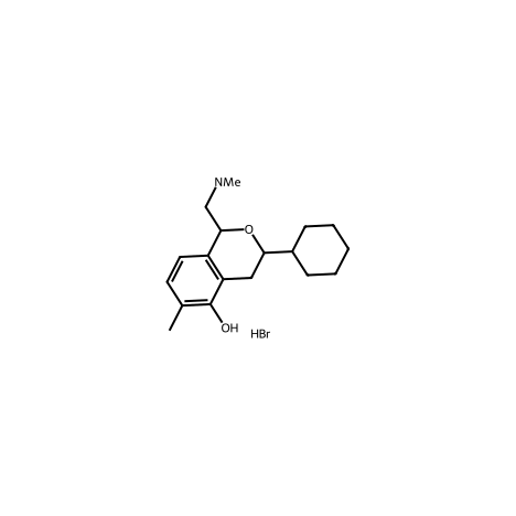 Br.CNCC1OC(C2CCCCC2)Cc2c1ccc(C)c2O